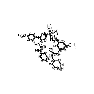 Cc1ccc(-n2nc(C(C)(C)C)cc2NC(=O)Nc2cccc(C(C(=O)Cc3cc(C)cc(C)c3)C3CCNCC3)c2)cc1